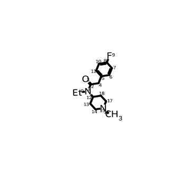 CCN(C(=O)Cc1ccc(F)cc1)C1CCN(C)CC1